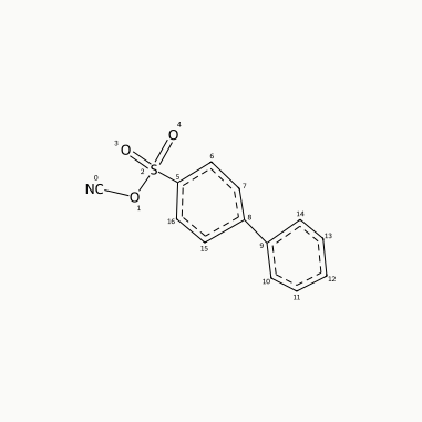 N#COS(=O)(=O)c1ccc(-c2ccccc2)cc1